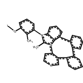 Cc1c(OI)cccc1-[n+]1c(C)n2c3ccncc3c3ccccc3c3ccccc3c3cccc1c32